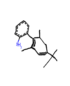 CC1=C(c2ccccc2N)C(C)CC(C(C)(C)C)=C1